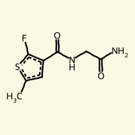 Cc1cc(C(=O)NCC(N)=O)c(F)s1